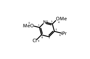 COc1nc(OC)c(C(C)C)cc1Cl